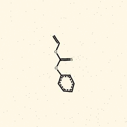 C=COC(=S)Oc1ccccc1